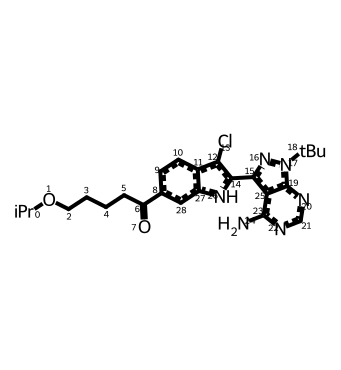 CC(C)OCCCCC(=O)c1ccc2c(Cl)c(-c3nn(C(C)(C)C)c4ncnc(N)c34)[nH]c2c1